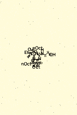 CCCCCCCCS(=O)(=O)[N+](F)(CC)c1nc(NCCO)nc([N+](F)(CC)S(=O)(=O)CCCCCCCC)n1